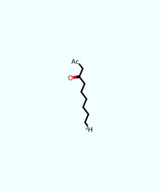 [2H]CCCCCCC(=O)CC(C)=O